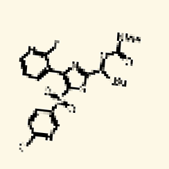 CNC(=O)OC(c1nc(-c2cccnc2F)c(S(=O)(=O)c2ccc(Cl)nc2)s1)C(C)(C)C